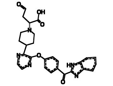 O=CCC(C(=O)O)N1CCC(c2nccnc2Oc2ccc(C(=O)c3nc4ccccc4[nH]3)cc2)CC1